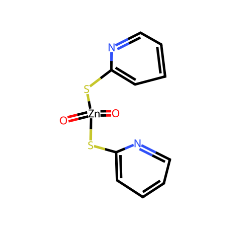 [O]=[Zn](=[O])([S]c1ccccn1)[S]c1ccccn1